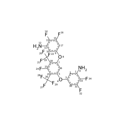 Nc1cc(Oc2cc(Oc3cc(N)c(F)c(F)c3)c(C(F)(F)F)c(F)c2C(F)(F)F)cc(F)c1F